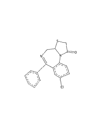 O=C1CSC2CN=C(c3ccccc3)c3cc(Cl)ccc3N12